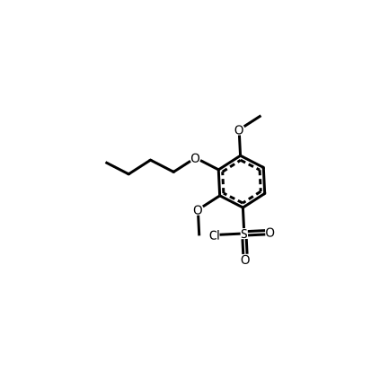 CCCCOc1c(OC)ccc(S(=O)(=O)Cl)c1OC